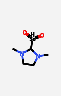 CN1CCN(C)C1[SeH](=O)=O